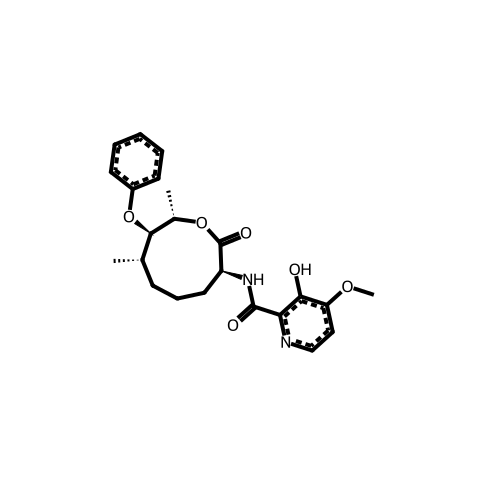 COc1ccnc(C(=O)N[C@H]2CCC[C@H](C)[C@@H](Oc3ccccc3)[C@H](C)OC2=O)c1O